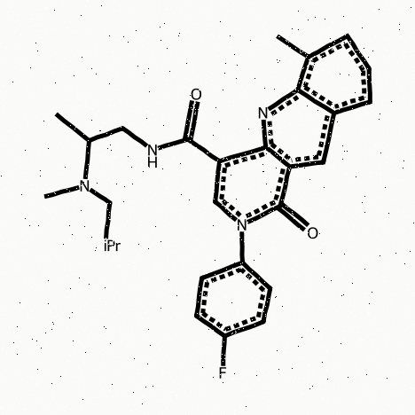 Cc1cccc2cc3c(=O)n(-c4ccc(F)cc4)cc(C(=O)NCC(C)N(C)CC(C)C)c3nc12